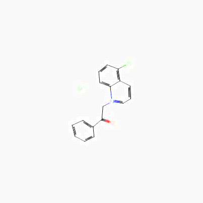 O=C(C[n+]1cccc2c(Cl)cccc21)c1ccccc1.[Br-]